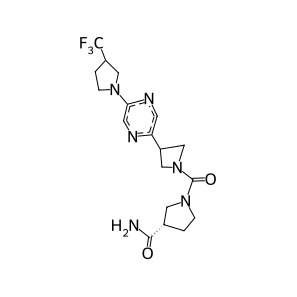 NC(=O)[C@H]1CCN(C(=O)N2CC(c3cnc(N4CCC(C(F)(F)F)C4)cn3)C2)C1